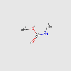 CCCCNC(=O)OCCC